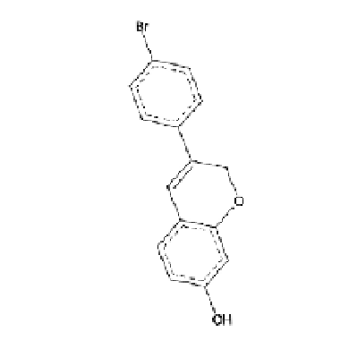 Oc1ccc2c(c1)OCC(c1ccc(Br)cc1)=C2